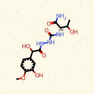 COc1ccc(C(O)C(=O)NNC(=O)N[C@H](C(N)=O)C(C)O)cc1O